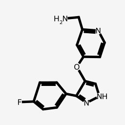 NCc1cc(Oc2c[nH]nc2-c2ccc(F)cc2)ccn1